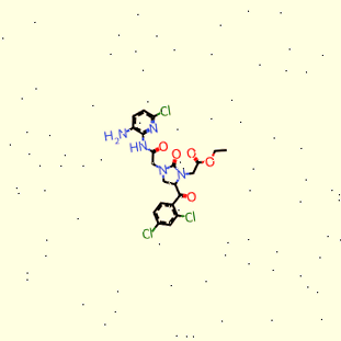 CCOC(=O)CN1C(=O)N(CC(=O)Nc2nc(Cl)ccc2N)CC1C(=O)c1ccc(Cl)cc1Cl